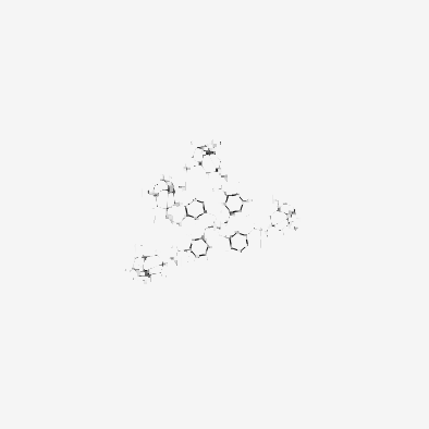 c1cc(CN[C@]23CC4C[C@H](C[C@@H](C4)C2)C3)cc(C[N+](Cc2cccc(CN[C@]34CC5C[C@H](C[C@@H](C5)C3)C4)c2)(Cc2cccc(CN[C@]34CC5C[C@H](C[C@@H](C5)C3)C4)c2)Cc2cccc(CN[C@]34CC5C[C@H](C[C@@H](C5)C3)C4)c2)c1